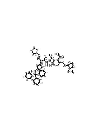 Nn1nnnc1SCC1=C(C(=O)O)N2C(=O)[C@@H](NC(=O)/C(=N\OC3CCCC3)c3csc(NC(c4ccccc4)(c4ccccc4)c4ccccc4)n3)[C@@H]2SC1